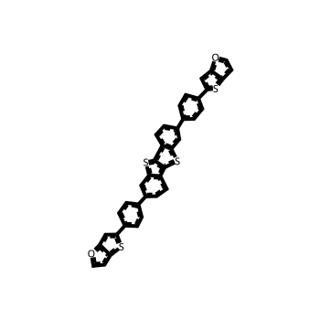 c1cc2sc(-c3ccc(-c4ccc5c(c4)sc4c6ccc(-c7ccc(-c8cc9occc9s8)cc7)cc6sc54)cc3)cc2o1